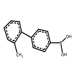 Cc1ccccc1-c1ccc(B(O)O)cc1